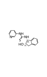 O[C@H]1Cc2ccccc2[C@H]1NC(=S)Nc1cccnc1